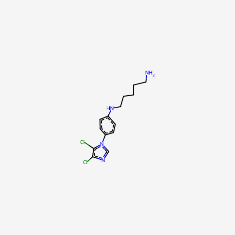 NCCCCCNc1ccc(-n2cnc(Cl)c2Cl)cc1